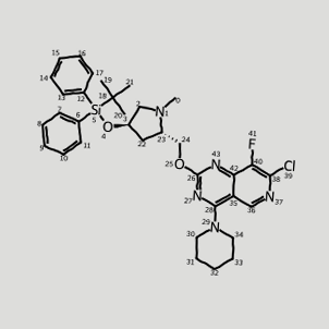 CN1C[C@H](O[Si](c2ccccc2)(c2ccccc2)C(C)(C)C)C[C@H]1COc1nc(N2CCCCC2)c2cnc(Cl)c(F)c2n1